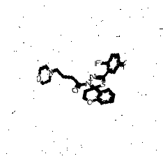 O=C(CCCN1CCOCC1)N1N=C(c2cc(F)ccc2F)SC12CCOc1ccccc12